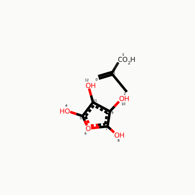 C=C(C)C(=O)O.Oc1oc(O)c(O)c1O